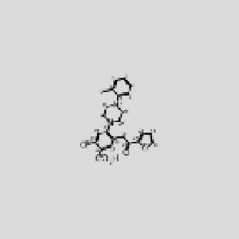 Cc1ccccc1N1CCN(c2cc(Cl)c(C(=O)O)cc2CC(=O)c2ccco2)CC1